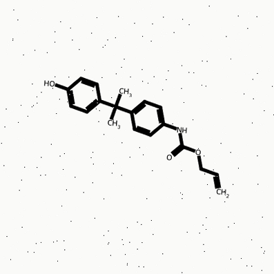 C=CCOC(=O)Nc1ccc(C(C)(C)c2ccc(O)cc2)cc1